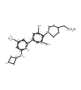 O=C(O)CC1CCN(c2c(F)cc(-c3cc(C(F)(F)F)cc(OC4CCC4)n3)cc2F)CC1